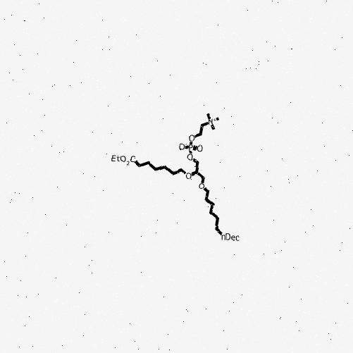 CCCCCCCCCCCCCCCCOCC(COP(=O)([O-])OCC[N+](C)(C)C)OCCCCCCC(=O)OCC